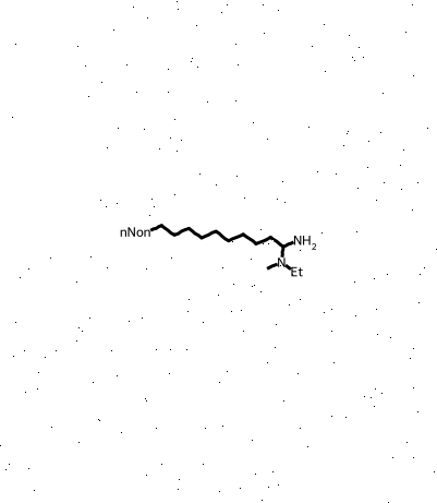 CCCCCCCCCCCCCCCCCCC(N)N(C)CC